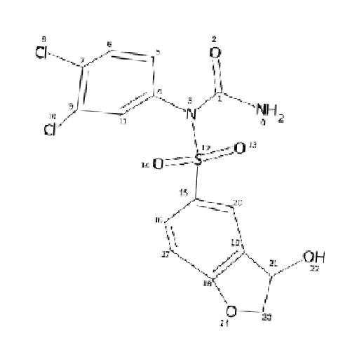 NC(=O)N(c1ccc(Cl)c(Cl)c1)S(=O)(=O)c1ccc2c(c1)C(O)CO2